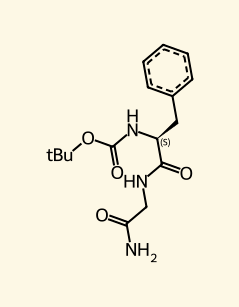 CC(C)(C)OC(=O)N[C@@H](Cc1ccccc1)C(=O)NCC(N)=O